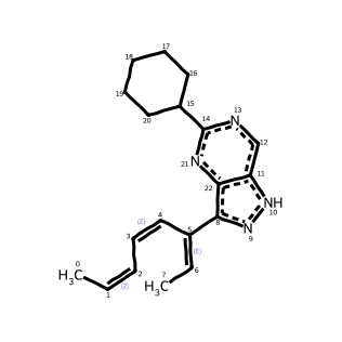 C\C=C/C=C\C(=C/C)c1n[nH]c2cnc(C3CCCCC3)nc12